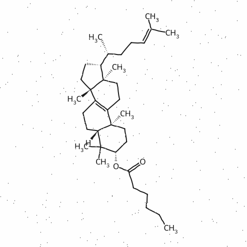 CCCCCC(=O)O[C@H]1CC[C@]2(C)C3=C(CC[C@H]2C1(C)C)[C@]1(C)CC[C@H]([C@H](C)CCC=C(C)C)[C@@]1(C)CC3